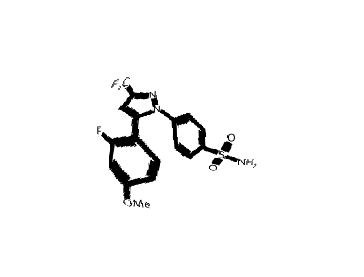 COc1ccc(-c2cc(C(F)(F)F)nn2-c2ccc(S(N)(=O)=O)cc2)c(F)c1